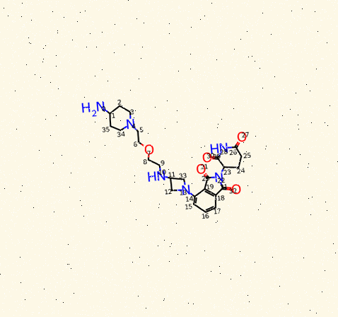 NC1CCN(CCOCCNC2CN(c3cccc4c3C(=O)N(C3CCC(=O)NC3=O)C4=O)C2)CC1